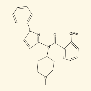 COc1ccccc1C(=O)N(c1ccn(-c2ccccc2)n1)C1CCN(C)CC1